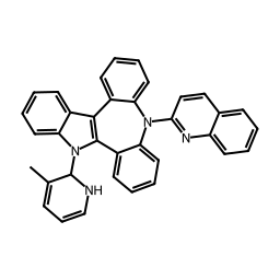 CC1=CC=CNC1n1c2c(c3ccccc31)-c1ccccc1N(c1ccc3ccccc3n1)c1ccccc1-2